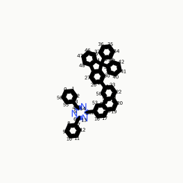 c1ccc(-c2nc(-c3ccccc3)nc(-c3ccc4ccc5ccc(-c6ccc7c(c6)C(c6ccccc6)(c6ccccc6)c6ccccc6-7)cc5c4c3)n2)cc1